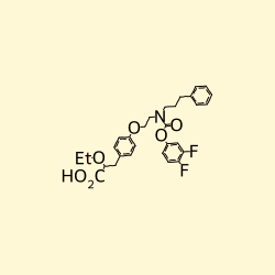 CCOC(Cc1ccc(OCCN(CCCc2ccccc2)C(=O)Oc2ccc(F)c(F)c2)cc1)C(=O)O